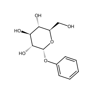 OC[C@H]1O[C@H](Oc2ccccc2)[C@H](O)[C@@H](O)[C@@H]1O